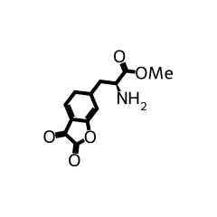 COC(=O)[C@@H](N)CC1C=C2OC(=O)C(=O)C2=CC1